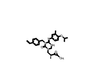 C=Cc1ccc(CN2C(=O)N(C[C@H](C)C3OC3O)CN/C2=N\c2ccc(OC(C)C)c(C)c2)cc1